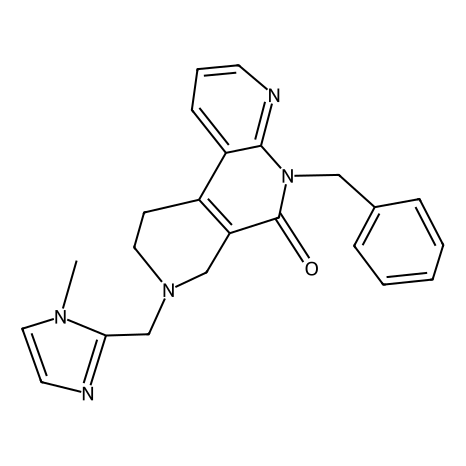 Cn1ccnc1CN1CCc2c(c(=O)n(Cc3ccccc3)c3ncccc23)C1